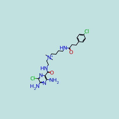 C[N+](C)(CCCCNC(=O)CCc1ccc(Cl)cc1)CCNC(=O)c1nc(Cl)c(N)nc1N